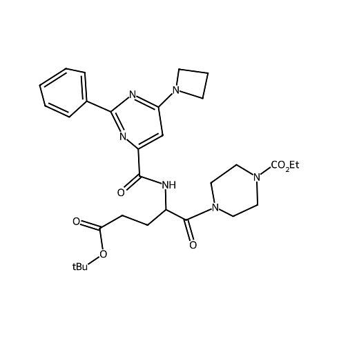 CCOC(=O)N1CCN(C(=O)C(CCC(=O)OC(C)(C)C)NC(=O)c2cc(N3CCC3)nc(-c3ccccc3)n2)CC1